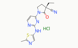 CC[C@]1(C#N)CCN(c2ccnc(Nc3cnc(C)s3)n2)C1=O.Cl